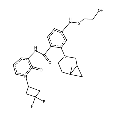 CC12CCN(c3cc(NSCCO)ccc3C(=O)Nc3cccn(C4CC(F)(F)C4)c3=O)CC1C2